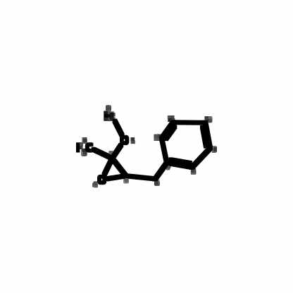 CCOC1(C(F)(F)F)OC1Cc1ccccc1